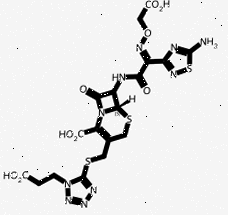 Nc1nc(C(=NOCC(=O)O)C(=O)NC2C(=O)N3C(C(=O)O)=C(CSc4nnnn4CCC(=O)O)CS[C@@H]23)ns1